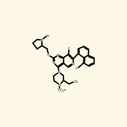 CC(C)N1CCCC1COc1nc(N2CCN(C(=O)O)C(CC#N)C2)c2cnc(-c3cccc4cccc(Cl)c34)c(F)c2n1